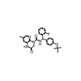 Cc1cnc2c(c1)NC(=O)CN2C(=O)NC(c1ccc(OC(C)(C)F)cc1)c1ccccc1F